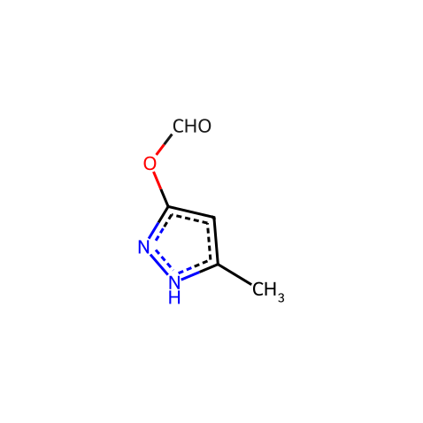 Cc1cc(OC=O)n[nH]1